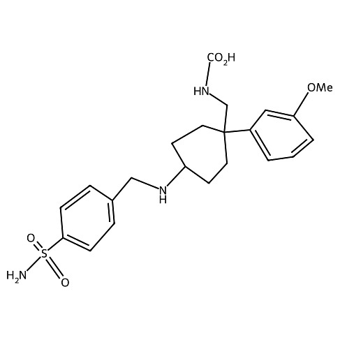 COc1cccc(C2(CNC(=O)O)CCC(NCc3ccc(S(N)(=O)=O)cc3)CC2)c1